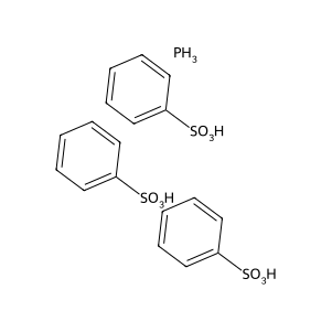 O=S(=O)(O)c1ccccc1.O=S(=O)(O)c1ccccc1.O=S(=O)(O)c1ccccc1.P